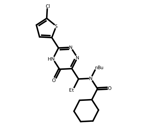 CCCCN(C(=O)C1CCCCC1)C(CC)c1nnc(-c2ccc(Cl)s2)[nH]c1=O